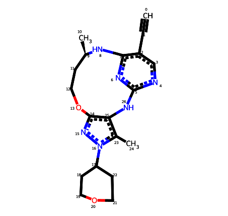 C#Cc1cnc2nc1N[C@H](C)CCOc1nn(C3CCOCC3)c(C)c1N2